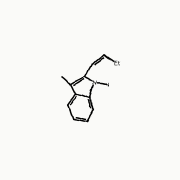 CC/C=C\c1c(C)c2ccccc2n1I